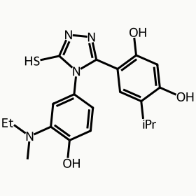 CCN(C)c1cc(-n2c(S)nnc2-c2cc(C(C)C)c(O)cc2O)ccc1O